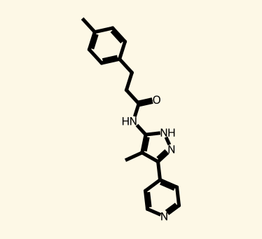 Cc1ccc(CCC(=O)Nc2[nH]nc(-c3ccncc3)c2C)cc1